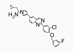 NC(CC1CC1)n1ccc(-c2ccc3nc(-c4ccc(OCc5cccc(F)c5)c(Cl)c4)ncc3c2)c1